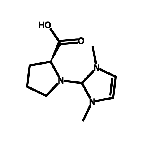 CN1C=CN(C)C1N1CCC[C@H]1C(=O)O